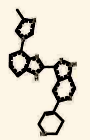 Cc1cn(-c2cccc3[nH]c(-c4n[nH]c5cnc(C6=CCNCC6)cc45)nc23)cn1